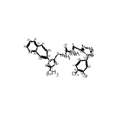 Cc1nc(CNC(=O)NCc2nnnn2-c2ccc(Cl)c(F)c2)n(-c2ccc3cccnc3c2)n1